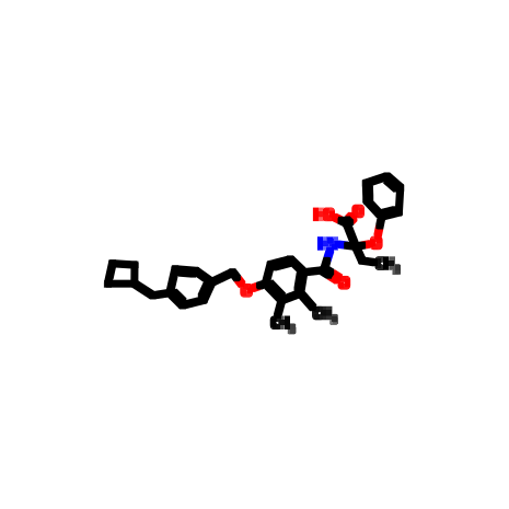 CCC(NC(=O)c1ccc(OCc2ccc(CC3CCC3)cc2)c(C)c1C)(Oc1ccccc1)C(=O)O